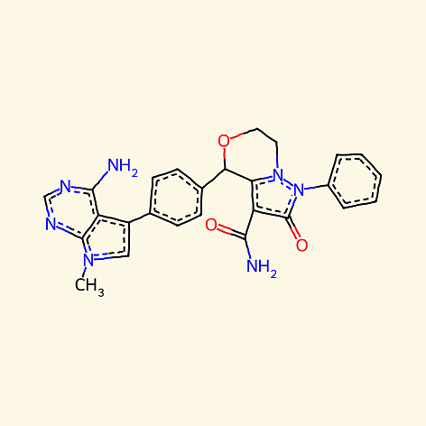 Cn1cc(-c2ccc(C3OCCn4c3c(C(N)=O)c(=O)n4-c3ccccc3)cc2)c2c(N)ncnc21